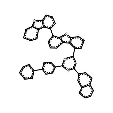 c1ccc(-c2ccc(-c3nc(-c4ccc5ccccc5c4)nc(-c4cccc5oc6c(-c7cccc8oc9ccccc9c78)cccc6c45)n3)cc2)cc1